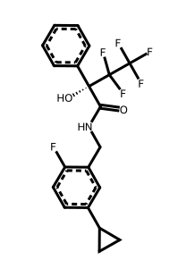 O=C(NCc1cc(C2CC2)ccc1F)[C@@](O)(c1ccccc1)C(F)(F)C(F)(F)F